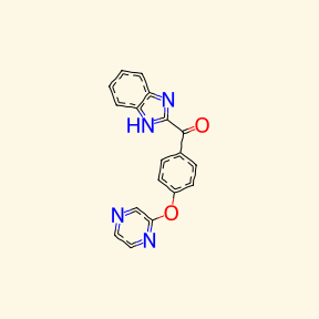 O=C(c1ccc(Oc2cnccn2)cc1)c1nc2ccccc2[nH]1